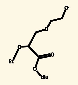 CCOC(COCC[O])C(=O)OC(C)(C)C